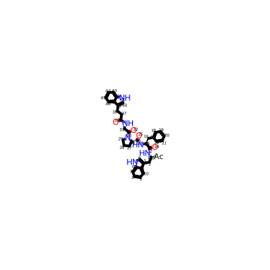 CC(=O)[C@H](Cc1c[nH]c2ccccc12)NC(=O)[C@H](Cc1ccccc1)NC(=O)[C@@H]1CCCN1C(=O)CNC(=O)CCc1c[nH]c2ccccc12